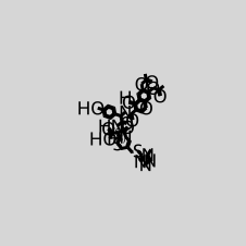 CC(=O)Oc1cc2occ(C(=O)NC(C(=O)N[C@]3(C(=O)O)C(=O)N4C=C(CSc5nnnn5C)CS[C@H]43)c3ccc(O)cc3)c(=O)c2cc1OC(C)=O